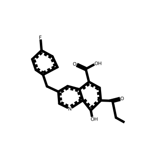 CCC(=O)c1cc(C(=O)O)c2cc(Cc3ccc(F)cc3)cnc2c1O